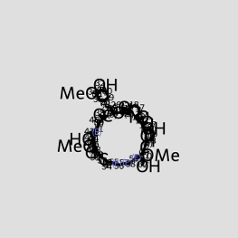 CO[C@H]1C[C@@H]2CC[C@@H](C)[C@@](O)(O2)C(=O)C(=O)N2CCCC[C@H]2C(=O)O[C@H]([C@H](C)C[C@@H]2CC[C@@H](O)[C@H](OC)C2)CC(=O)[C@H](C)/C=C(\C)[C@@H](O)[C@@H](OC)C(=O)[C@H](C)C[C@H](C)/C=C/C=C/C=C/1CO